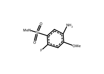 CNS(=O)(=O)c1cc(N)c(OC)cc1F